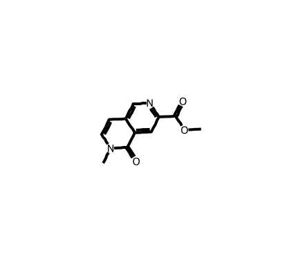 COC(=O)c1cc2c(=O)n(C)ccc2cn1